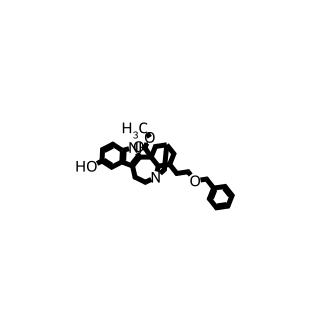 COC(=O)C12CC3CC(CCOCc4ccccc4)C1N(CCc1c2[nH]c2ccc(O)cc12)C3